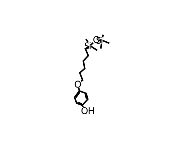 C[Si](C)(C)O[Si](C)(C)CCCCCCOc1ccc(O)cc1